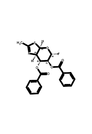 CC1=N[C@@H]2[C@@H](OC(=O)c3ccccc3)[C@H](OC(=O)c3ccccc3)[C@@H](F)O[C@@H]2S1